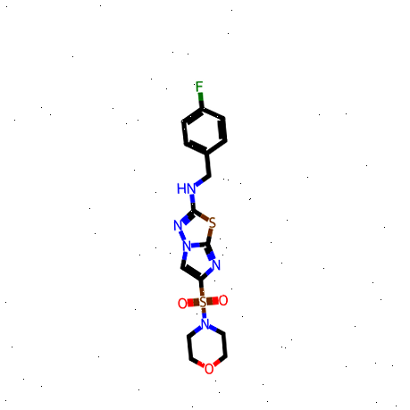 O=S(=O)(c1cn2nc(NCc3ccc(F)cc3)sc2n1)N1CCOCC1